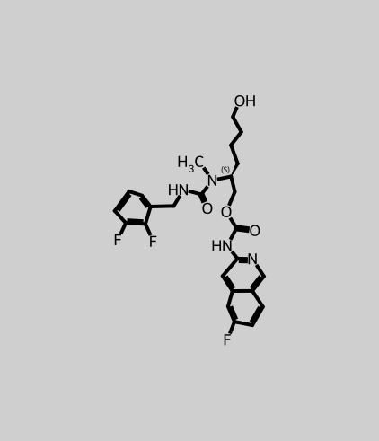 CN(C(=O)NCc1cccc(F)c1F)[C@@H](CCCCO)COC(=O)Nc1cc2cc(F)ccc2cn1